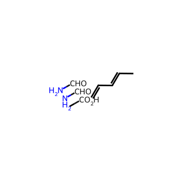 C=CC=CC.CC(=O)O.NC=O.NC=O